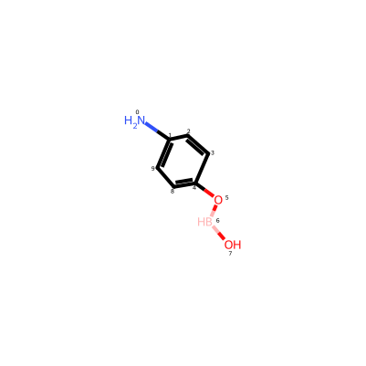 Nc1ccc(OBO)cc1